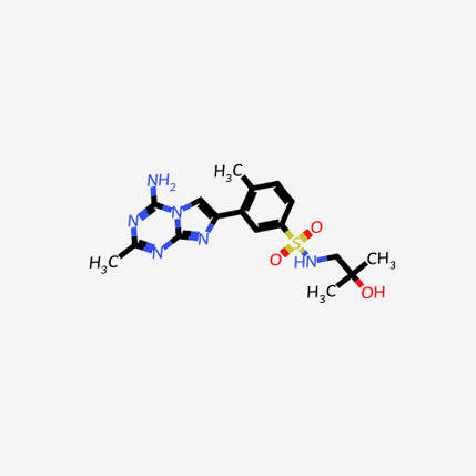 Cc1nc(N)n2cc(-c3cc(S(=O)(=O)NCC(C)(C)O)ccc3C)nc2n1